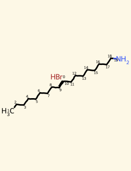 Br.CCCCCCCCC=CCCCCCCCCN